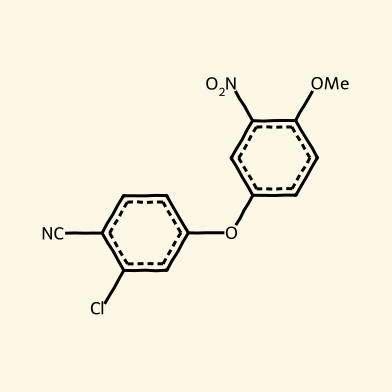 COc1ccc(Oc2ccc(C#N)c(Cl)c2)cc1[N+](=O)[O-]